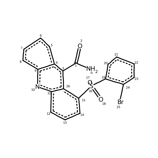 NC(=O)c1c2ccccc2nc2cccc(S(=O)(=O)c3ccccc3Br)c12